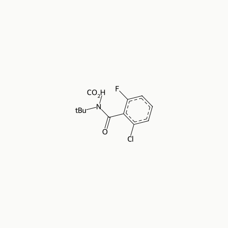 CC(C)(C)N(C(=O)O)C(=O)c1c(F)cccc1Cl